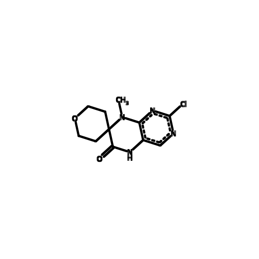 CN1c2nc(Cl)ncc2NC(=O)C12CCOCC2